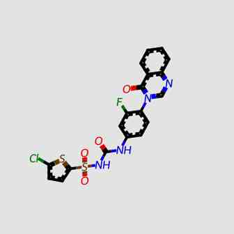 O=C(Nc1ccc(-n2cnc3ccccc3c2=O)c(F)c1)NS(=O)(=O)c1ccc(Cl)s1